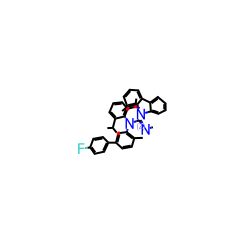 C/N=C(/N(c1cc(-c2ccc(F)cc2)ccc1C)c1c(C(C)C)cccc1C(C)C)n1c2ccccc2c2cccc(C)c21